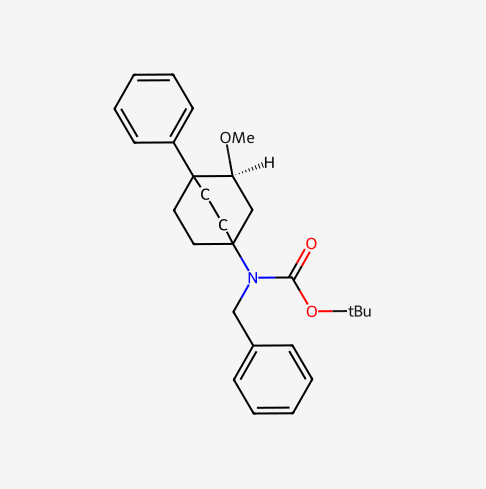 CO[C@H]1CC2(N(Cc3ccccc3)C(=O)OC(C)(C)C)CCC1(c1ccccc1)CC2